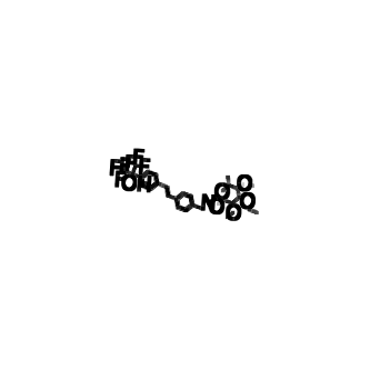 CCO[C@@H]1[C@H](OC)[C@H](ON=Cc2ccc(C=Cc3ccc(C(O)(C(F)(F)F)C(F)(F)F)cc3)cc2)O[C@@H](C)[C@@H]1OC